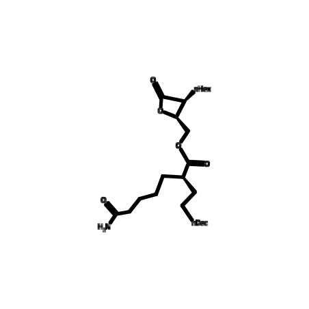 CCCCCCCCCCCC[C@@H](CCCCC(N)=O)C(=O)OC[C@H]1OC(=O)[C@H]1CCCCCC